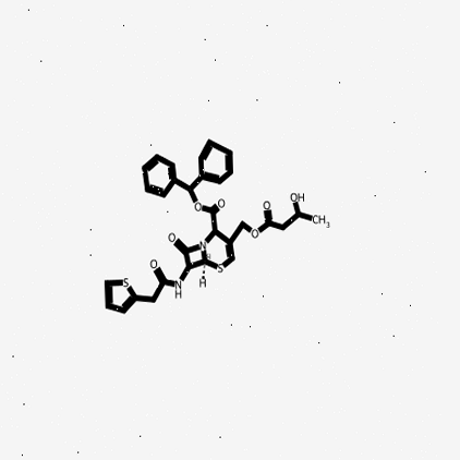 CC(O)CC(=O)OCC1=CS[C@H]2C(NC(=O)Cc3cccs3)C(=O)N2C1C(=O)OC(c1ccccc1)c1ccccc1